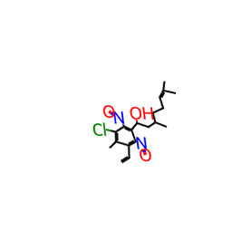 C=Cc1c(C)c(Cl)c(N=O)c(C(O)CC(C)CCC=C(C)C)c1N=O